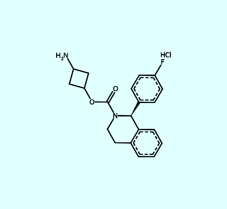 Cl.NC1CC(OC(=O)N2CCc3ccccc3[C@@H]2c2ccc(F)cc2)C1